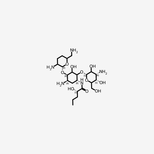 CCC[C@H](O)C(=O)N[C@@H]1C[C@@H](N)[C@@H](O[C@H]2OC(CN)CCC2N)C(O)C1O[C@H]1OC(CO)[C@@H](O)[C@@H](N)C1O